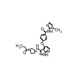 CCC(=O)N1CC[C@@H](Nc2n[nH]c3nccc(Oc4ccc(C(=O)Nc5nccn5C)cc4)c23)C1